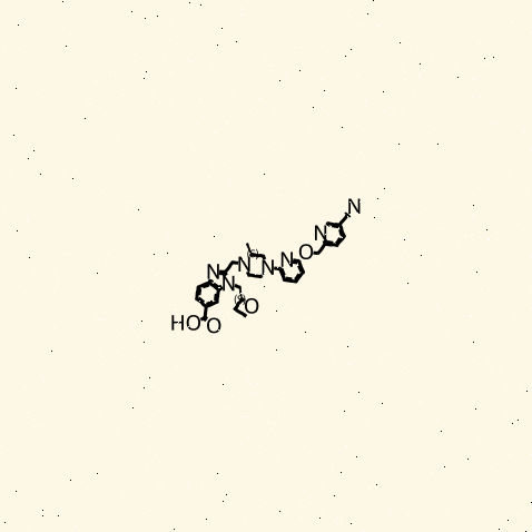 C[C@H]1CN(c2cccc(OCc3ccc(C#N)cn3)n2)CCN1Cc1nc2ccc(C(=O)O)cc2n1C[C@@H]1CCO1